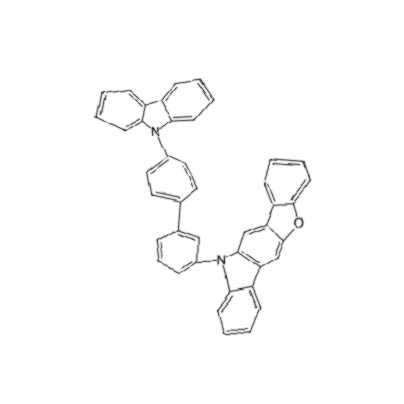 c1cc(-c2ccc(-n3c4ccccc4c4ccccc43)cc2)cc(-n2c3ccccc3c3cc4oc5ccccc5c4cc32)c1